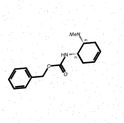 CN[C@@H]1CC=CC[C@@H]1NC(=O)OCc1ccccc1